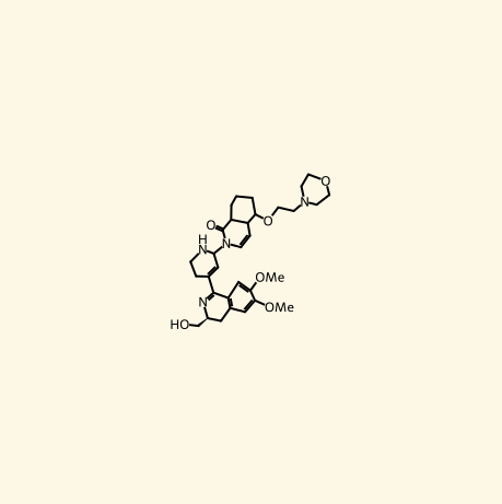 COc1cc2c(cc1OC)C(C1=CC(N3C=CC4C(OCCN5CCOCC5)CCCC4C3=O)NCC1)=N[C@H](CO)C2